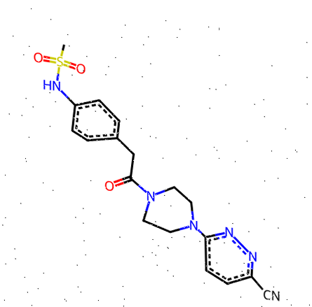 CS(=O)(=O)Nc1ccc(CC(=O)N2CCN(c3ccc(C#N)nn3)CC2)cc1